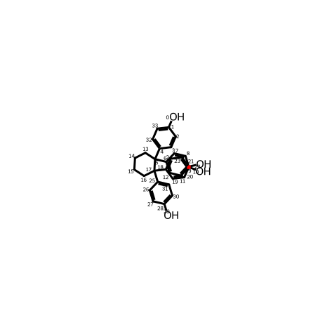 Oc1ccc(C2(c3ccc(O)cc3)CCCCC2(c2ccc(O)cc2)c2ccc(O)cc2)cc1